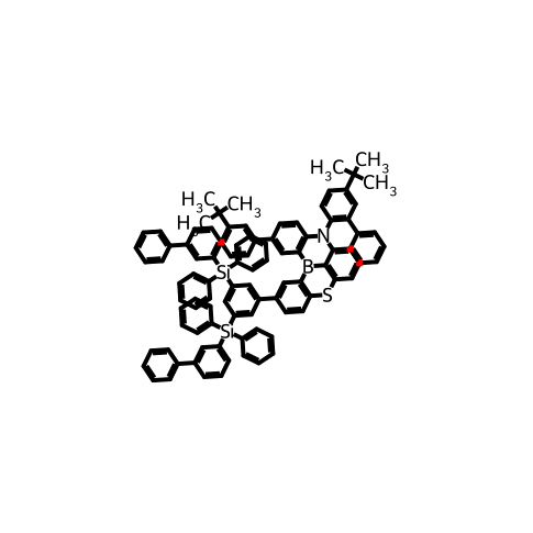 CC(C)(C)c1cccc(-c2ccc3c(c2)B2c4cc(-c5cc([Si](c6ccccc6)(c6ccccc6)c6cccc(-c7ccccc7)c6)cc([Si](c6ccccc6)(c6ccccc6)c6cccc(-c7ccccc7)c6)c5)ccc4Sc4cccc(c42)N3c2ccc(C(C)(C)C)cc2-c2ccccc2)c1